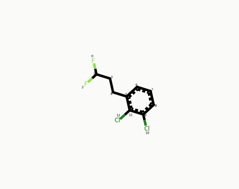 FC(F)C[CH]c1cccc(Cl)c1Cl